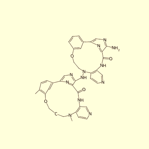 Cc1ccc2cc1OCCCN(C)c1ccncc1NC(=O)c1nc-2cnc1NN1CCOc2cccc(c2)-c2cnc(N)c(n2)C(=O)Nc2cnccc21